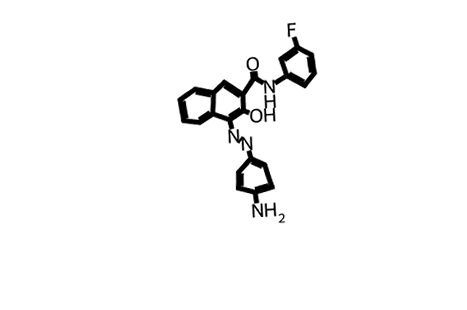 Nc1ccc(N=Nc2c(O)c(C(=O)Nc3cccc(F)c3)cc3ccccc23)cc1